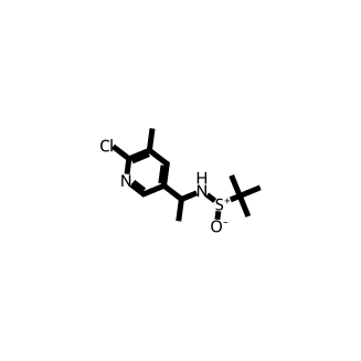 Cc1cc(C(C)N[S+]([O-])C(C)(C)C)cnc1Cl